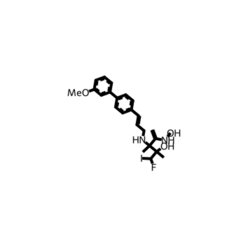 C=C(NO)C(C)(NC/C=C/c1ccc(-c2cccc(OC)c2)cc1)C(C)(O)C(F)I